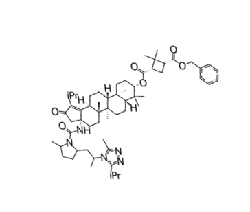 Cc1nnc(C(C)C)n1C(C)CC1CCC(C)N1C(=O)N[C@@]12CC[C@]3(C)[C@H](CC[C@@H]4[C@@]5(C)CC[C@H](OC(=O)[C@H]6C[C@@H](C(=O)OCc7ccccc7)C6(C)C)C(C)(C)[C@@H]5CC[C@]43C)C1=C(C(C)C)C(=O)C2